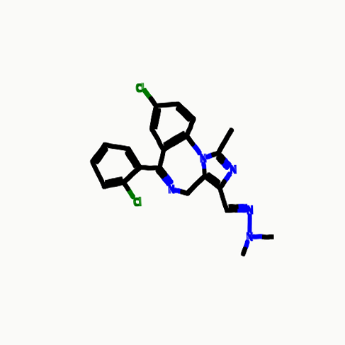 Cc1nc(C=NN(C)C)c2n1-c1ccc(Cl)cc1C(c1ccccc1Cl)=NC2